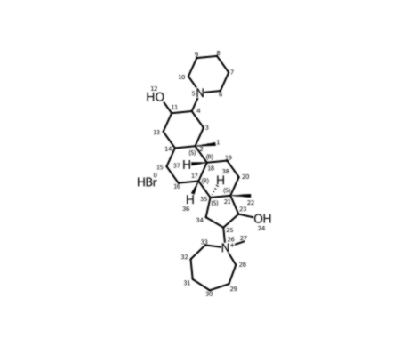 Br.C[C@]12CC(N3CCCCC3)C(O)CC1CC[C@@H]1[C@H]2CC[C@]2(C)C(O)C([N+]3(C)CCCCCC3)C[C@@H]12